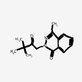 Cc1nn(CC(=O)C(C)(C)C)c(=O)c2ccccc12